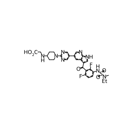 CCN(C)S(=O)(=O)Nc1ccc(F)c(C(=O)c2c[nH]c3ncc(-c4cnc(N5CCC(NCC(=O)O)CC5)nc4)cc23)c1F